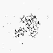 CC1CCN(C(=O)[C@@H](c2ccccc2)n2cnc(NC(=O)C(NC(=O)C(C)(C)N)c3ccccc3)c2)CC1.O=C(O)C(F)(F)F.O=C(O)C(F)(F)F